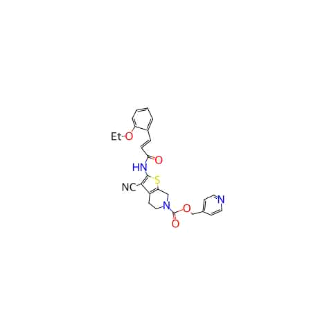 CCOc1ccccc1C=CC(=O)Nc1sc2c(c1C#N)CCN(C(=O)OCc1ccncc1)C2